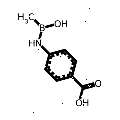 CB(O)Nc1ccc(C(=O)O)cc1